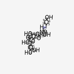 O=C(/C=C/c1ccc(O)cc1)NC(CO)C(=O)Oc1cc(O)c2c(=O)c(O)c(-c3ccc(O)c(O)c3)oc2c1